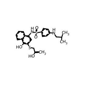 C=C(O)CSc1cc(NS(=O)(=O)c2ccc(NCC(C)C)cc2)c2ccccc2c1O